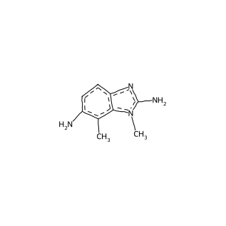 Cc1c(N)ccc2nc(N)n(C)c12